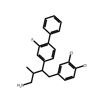 CC(CN)C(Cc1ccc(Cl)c(Cl)c1)c1ccc(-c2ccccc2)c(F)c1